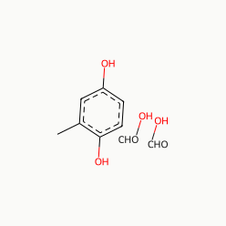 Cc1cc(O)ccc1O.O=CO.O=CO